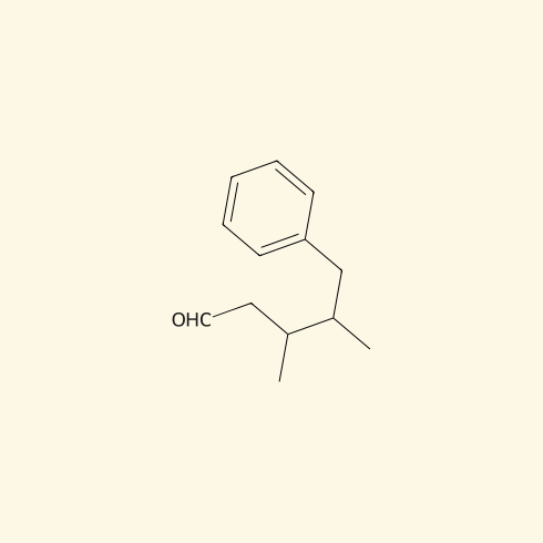 CC(CC=O)C(C)Cc1ccccc1